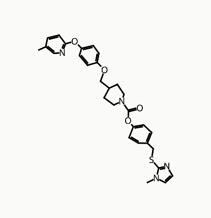 Cc1ccc(Oc2ccc(OCC3CCN(C(=O)Oc4ccc(CSc5nccn5C)cc4)CC3)cc2)nc1